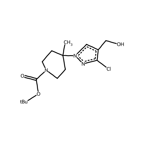 CC(C)(C)OC(=O)N1CCC(C)(n2cc(CO)c(Cl)n2)CC1